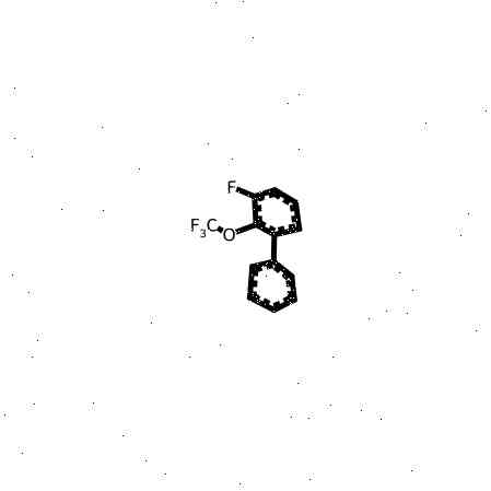 Fc1cccc(-c2ccccc2)c1OC(F)(F)F